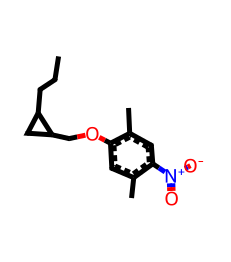 CCCC1CC1COc1cc(C)c([N+](=O)[O-])cc1C